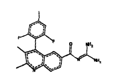 Cc1cc(F)c(-c2c(C)c(C)nc3ccc(C(=O)N=C(N)N)cc23)c(F)c1